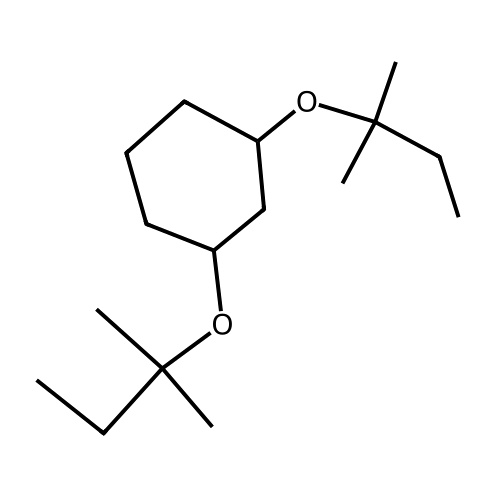 CCC(C)(C)OC1CCCC(OC(C)(C)CC)C1